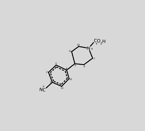 N#Cc1ccc(C2CCN(C(=O)O)CC2)cc1